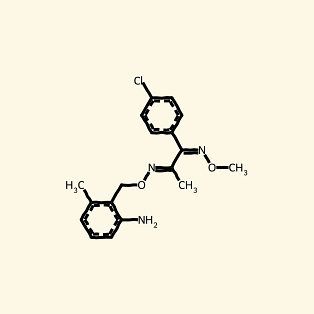 CO/N=C(\C(C)=N\OCc1c(C)cccc1N)c1ccc(Cl)cc1